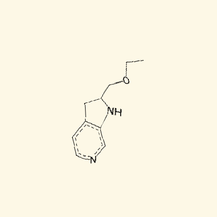 CCOCC1Cc2ccncc2N1